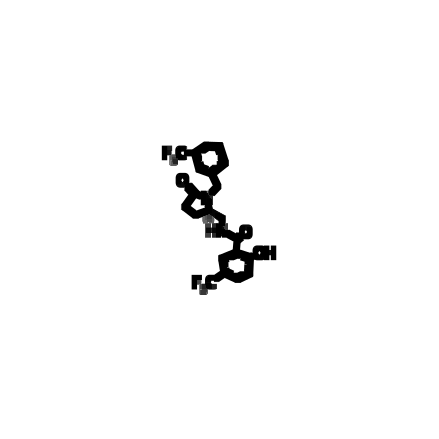 O=C(NC[C@H]1CCC(=O)N1Cc1cccc(C(F)(F)F)c1)c1cc(C(F)(F)F)ccc1O